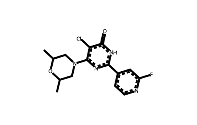 CC1CN(c2nc(-c3ccnc(F)c3)[nH]c(=O)c2Cl)CC(C)O1